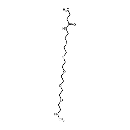 CCCC(=O)NCCOCCOCCOCCOCCOCCNC